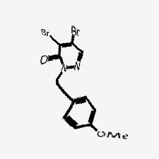 COc1ccc(Cn2ncc(Br)c(Br)c2=O)cc1